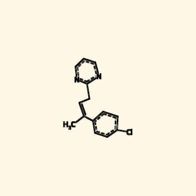 CC(=CCc1ncccn1)c1ccc(Cl)cc1